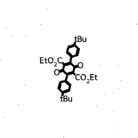 CCOC(=O)C1=C(c2ccc(C(C)(C)C)cc2)C(=O)C(C(=O)OCC)=C(c2ccc(C(C)(C)C)cc2)C1=O